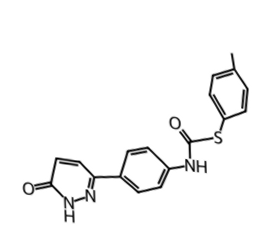 Cc1ccc(SC(=O)Nc2ccc(-c3ccc(=O)[nH]n3)cc2)cc1